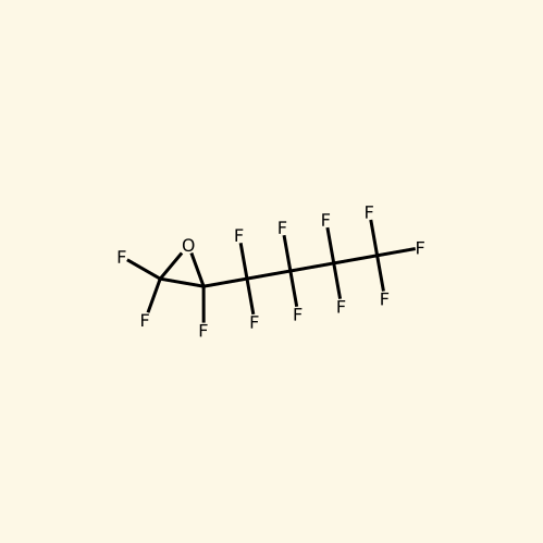 FC(F)(F)C(F)(F)C(F)(F)C(F)(F)C1(F)OC1(F)F